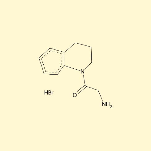 Br.NCC(=O)N1CCCc2ccccc21